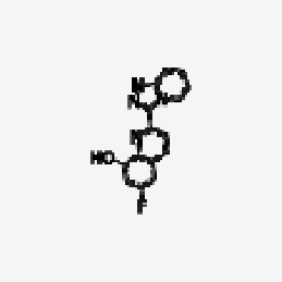 Oc1cc(F)cc2ccc(-c3nnc4ccccn34)nc12